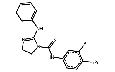 CCCc1ccc(NC(=S)N2CCN=C2NC2=CC=CCC2)cc1Br